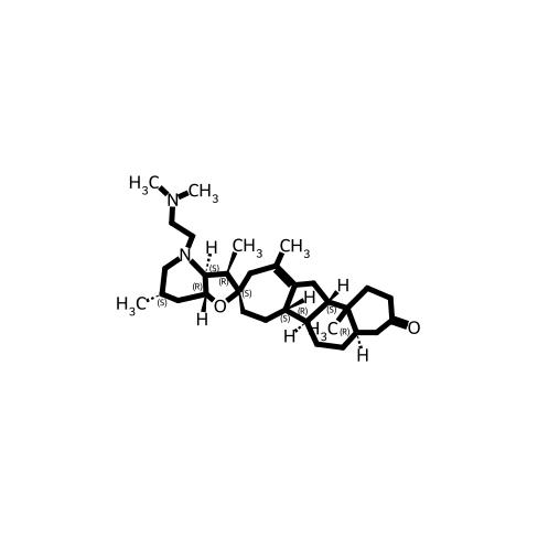 CC1=C2C[C@H]3[C@@H](CC[C@@H]4CC(=O)CCC43C)[C@@H]2CC[C@@]2(C1)O[C@@H]1C[C@H](C)CN(CCN(C)C)[C@H]1[C@H]2C